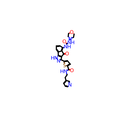 O=C(Nc1cccc2c1C(=O)c1c(-c3ccc(C(=O)NCCc4cccnc4)s3)n[nH]c1-2)NN1CCOCC1